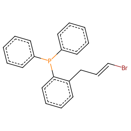 BrC=CCc1ccccc1P(c1ccccc1)c1ccccc1